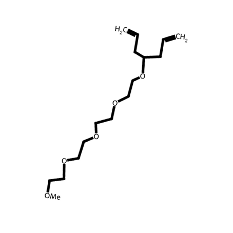 C=CCC(CC=C)OCCOCCOCCOCCOC